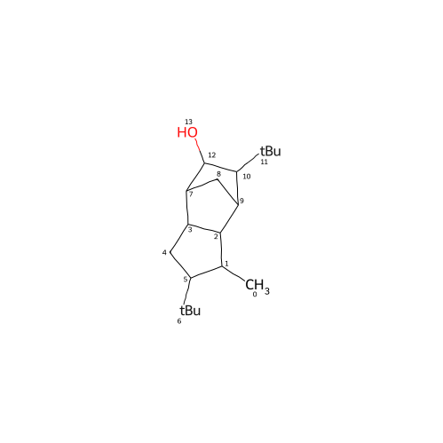 CC1C2C(CC1C(C)(C)C)C1CC2C(C(C)(C)C)C1O